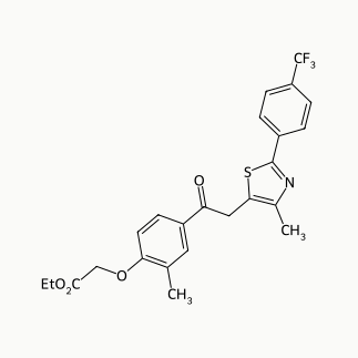 CCOC(=O)COc1ccc(C(=O)Cc2sc(-c3ccc(C(F)(F)F)cc3)nc2C)cc1C